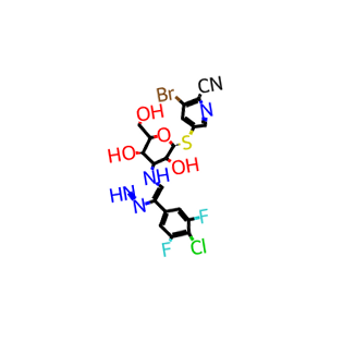 N#Cc1ncc(S[C@H]2OC(CO)[C@H](O)C(N/C=C(\N=N)c3cc(F)c(Cl)c(F)c3)C2O)cc1Br